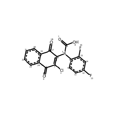 O=C1C(Cl)=C(N(C(=O)O)c2ccc(F)cc2F)C(=O)c2ccccc21